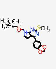 CSc1nc(-c2ccc3c(c2)OCO3)c2ccn(COCC[Si](C)(C)C)c2n1